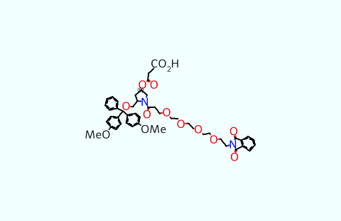 COc1ccc(C(OCC2C[C@@H](OC(=O)CCC(=O)O)CN2C(=O)CCOCCOCCOCCOCCN2C(=O)c3ccccc3C2=O)(c2ccccc2)c2ccc(OC)cc2)cc1